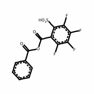 O=C(OC(=O)c1c(F)c(F)c(F)c(F)c1S(=O)(=O)O)c1ccccc1